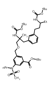 CCCN(c1cc(COCC(C)(Cc2cccc(CCC(CC)NC(=O)OC(C)(C)C)c2)NC(=O)OC(C)(C)C)cc(C(=O)OC(C)(C)C)c1)S(C)(=O)=O